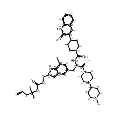 C=CCC(C)(C)OC(=O)OCn1cc2cc(C[C@@H](NC(=O)N3CCC(c4cc5ccccc5[nH]c4=O)CC3)C(=O)N3CCN(C4CCN(C)CC4)CC3)cc(C)c2n1